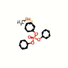 CP.O=P(Oc1ccccc1)(Oc1ccccc1)Oc1ccccc1